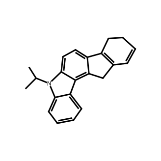 CC(C)n1c2ccccc2c2c3c(ccc21)C1=C(C=CCC1)C3